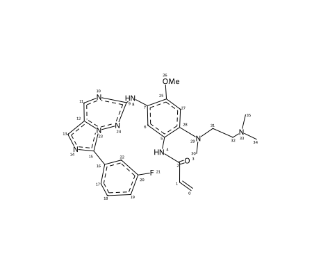 C=CC(=O)Nc1cc(Nc2ncc3cnc(-c4cccc(F)c4)n3n2)c(OC)cc1N(C)CCN(C)C